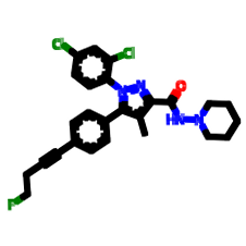 Cc1c(C(=O)NN2CCCCC2)nn(-c2ccc(Cl)cc2Cl)c1-c1ccc(C#CCCF)cc1